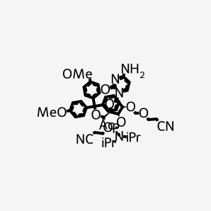 COc1ccc(C(OC(C(C)=O)[C@H]2O[C@@H](n3ccc(N)nc3=O)[C@H](OCOCCC#N)[C@@H]2OP(OCCC#N)N(C(C)C)C(C)C)(c2ccccc2)c2ccc(OC)cc2)cc1